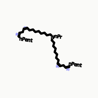 CCCCC/C=C\C/C=C\CCCCCCCCN(CCC)CCCCCCCC/C=C\C/C=C\CCCCC